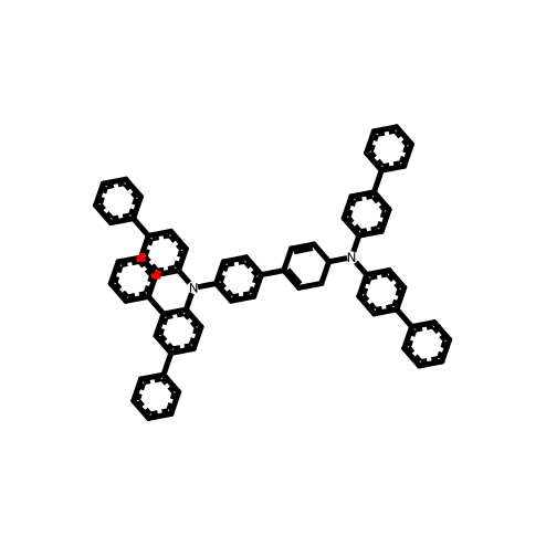 C1=CC(N(c2ccc(-c3ccccc3)cc2)c2ccc(-c3ccccc3)cc2)CC=C1c1ccc(N(c2ccc(-c3ccccc3)cc2)c2ccc(-c3ccccc3)cc2-c2ccccc2)cc1